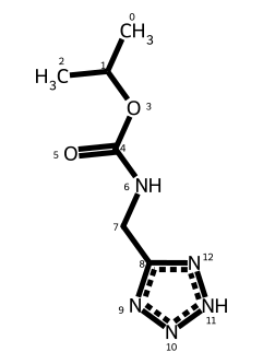 CC(C)OC(=O)NCc1nn[nH]n1